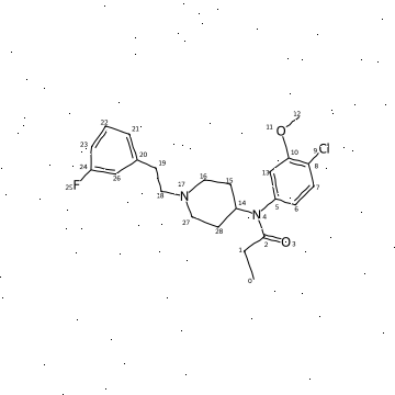 CCC(=O)N(c1ccc(Cl)c(OC)c1)C1CCN(CCc2cccc(F)c2)CC1